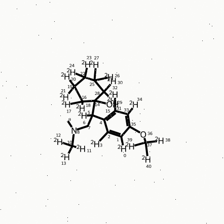 [2H]c1c([2H])c(C([2H])(CN(C)C([2H])([2H])[2H])C2(O)C([2H])([2H])C([2H])([2H])C([2H])([2H])C([2H])([2H])C2([2H])[2H])c([2H])c([2H])c1OC([2H])([2H])[2H]